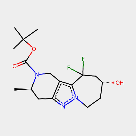 C[C@@H]1Cc2nn3c(c2CN1C(=O)OC(C)(C)C)C(F)(F)C[C@H](O)CC3